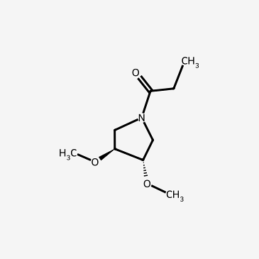 CCC(=O)N1C[C@H](OC)[C@@H](OC)C1